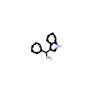 [CH2]C(c1ccccc1)c1c[nH]c2ccccc12